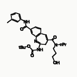 CCCN(CCCO)C(=O)C1=Cc2ccc(C(=O)Nc3cccc(C)c3)cc2N=C(NC(=O)OC(C)(C)C)C1